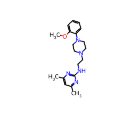 COc1ccccc1N1CCN(CCNc2nc(C)cc(C)n2)CC1